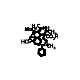 COC(=O)C1=C(C)NC(C)C(CCN(C)Cc2ccccc2)(C(=O)O)C1c1cccc2c1OCO2.Cl